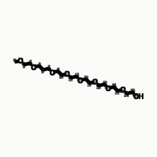 COCCOCCCOCCOCCOCCOCCOCCOCCO